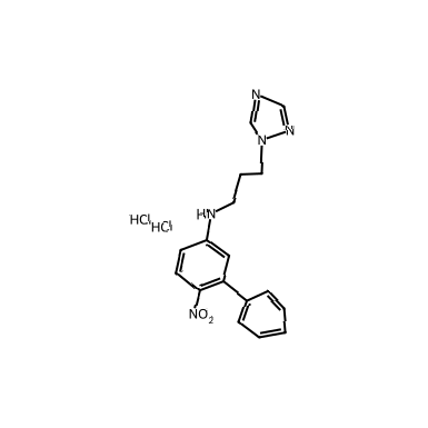 Cl.Cl.O=[N+]([O-])c1ccc(NCCCn2cncn2)cc1-c1ccccc1